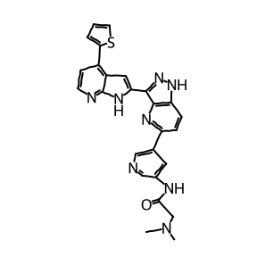 CN(C)CC(=O)Nc1cncc(-c2ccc3[nH]nc(-c4cc5c(-c6cccs6)ccnc5[nH]4)c3n2)c1